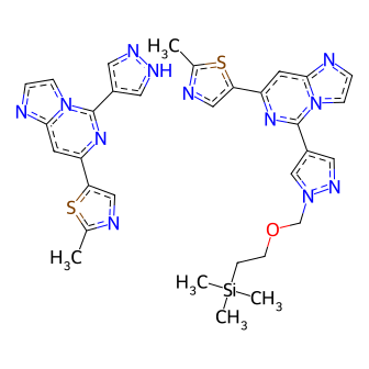 Cc1ncc(-c2cc3nccn3c(-c3cn[nH]c3)n2)s1.Cc1ncc(-c2cc3nccn3c(-c3cnn(COCC[Si](C)(C)C)c3)n2)s1